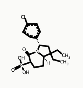 CCC1(CC)C[C@@H](c2ccc(Cl)cc2)N2C(=O)C(P(=O)(O)O)CC[C@@H]21